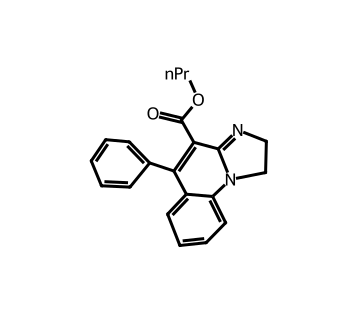 CCCOC(=O)C1=C(c2ccccc2)c2ccccc2N2CCN=C12